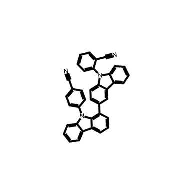 N#Cc1ccc(-n2c3ccccc3c3cccc(-c4ccc5c(c4)c4ccccc4n5-c4ccccc4C#N)c32)cc1